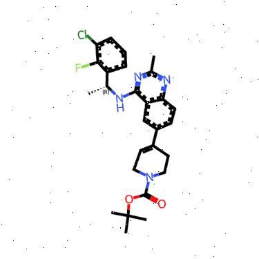 Cc1nc(N[C@H](C)c2cccc(Cl)c2F)c2cc(C3=CCN(C(=O)OC(C)(C)C)CC3)ccc2n1